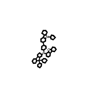 c1ccc(-n2c3ccccc3c3ccc(-c4ccc(N(c5ccc6c(c5)C(c5ccccc5)(c5ccccc5)c5ccccc5-6)c5cccc6c5oc5ccccc56)cc4)cc32)cc1